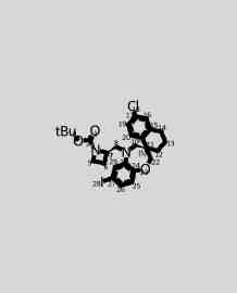 CC(C)(C)OC(=O)N1CC[C@@H]1CN1C[C@@]2(CCCc3cc(Cl)ccc32)COc2ccc(I)cc21